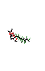 CCOC1(C(F)C(F)(F)C(F)(F)C(F)(F)C(F)(F)C(F)C(F)C(F)F)CCC[Si](OCC)(OCC)O1